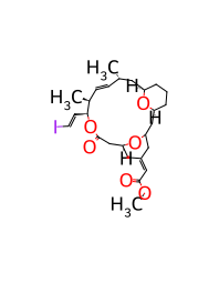 COC(=O)/C=C1/CC2C[C@@H]3CCC[C@H](C[C@@H](C)/C=C/[C@H](C)[C@H](/C=C/I)OC(=O)C[C@H](C1)O2)O3